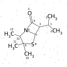 CC(C)C1C(=O)N2C1SC(C)(C)C2C